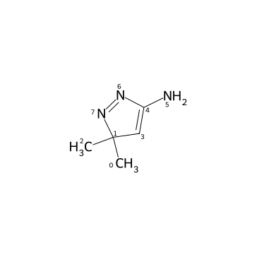 CC1(C)C=C(N)N=N1